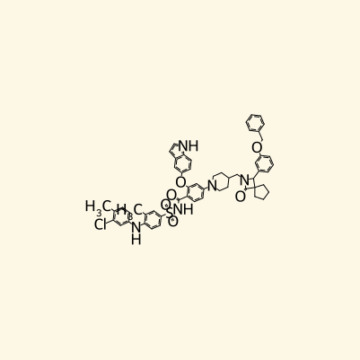 Cc1ccc(Nc2ccc(S(=O)(=O)NC(=O)c3ccc(N4CCC(CN5C(=O)C6(CCCC6)C5c5cccc(OCc6ccccc6)c5)CC4)cc3Oc3ccc4[nH]ccc4c3)cc2C)cc1Cl